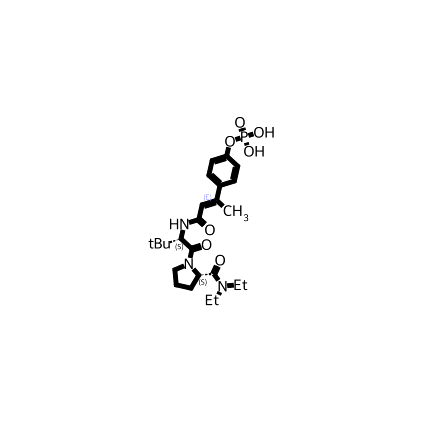 CCN(CC)C(=O)[C@@H]1CCCN1C(=O)[C@@H](NC(=O)/C=C(\C)c1ccc(OP(=O)(O)O)cc1)C(C)(C)C